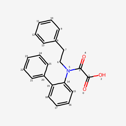 O=C(O)C(=O)N(CCc1ccccc1)c1ccccc1-c1ccccc1